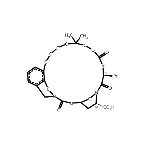 CC(C)[C@@H]1NC(=O)OCC(C)(C)CCCCc2cccc3c2CN(C3)C(=O)OC2C[C@@H](C(=O)O)N(C2)C1=O